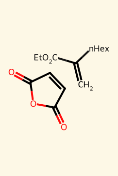 C=C(CCCCCC)C(=O)OCC.O=C1C=CC(=O)O1